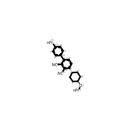 CCCO[C@H]1CC[C@H](c2ccc(-c3ccc(CCC)cc3)c(C#N)c2C#N)CC1